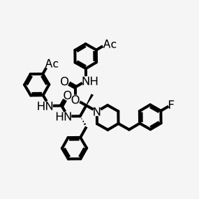 CC(=O)c1cccc(NC(=O)N[C@@H](Cc2ccccc2)[C@](C)(OC(=O)Nc2cccc(C(C)=O)c2)N2CCC(Cc3ccc(F)cc3)CC2)c1